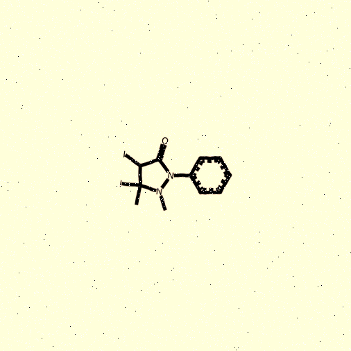 CN1N(c2ccccc2)C(=O)C(I)C1(C)I